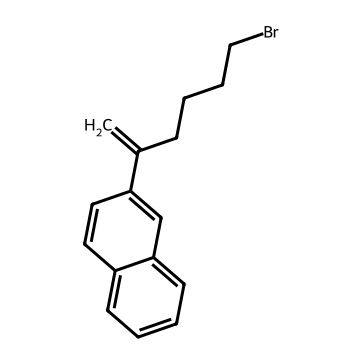 C=C(CCCCBr)c1ccc2ccccc2c1